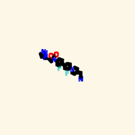 N#CC=C1CCN(c2ccc(-c3ccc(N4C[C@H](Cn5ccnn5)OC4=O)cc3F)cc2F)CC1